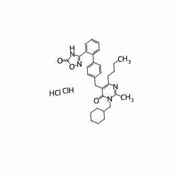 CCCCc1nc(C)n(CC2CCCCC2)c(=O)c1Cc1ccc(-c2ccccc2-c2noc(=O)[nH]2)cc1.Cl.Cl